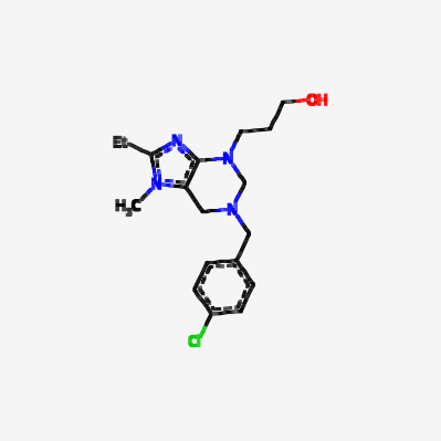 CCc1nc2c(n1C)CN(Cc1ccc(Cl)cc1)CN2CCCO